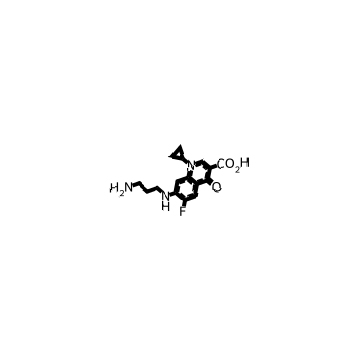 NCCCNc1cc2c(cc1F)c(=O)c(C(=O)O)cn2C1CC1